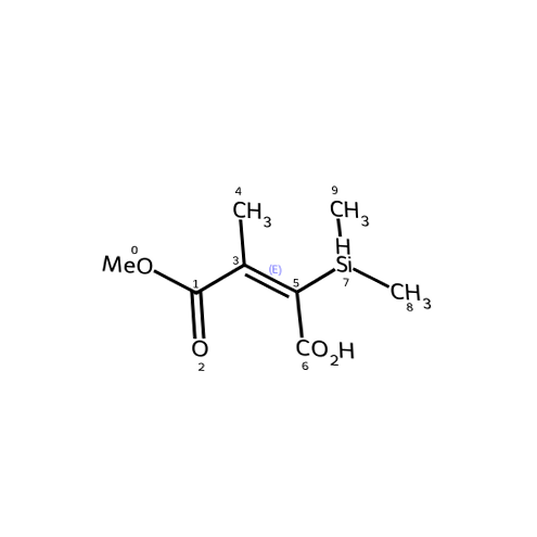 COC(=O)/C(C)=C(\C(=O)O)[SiH](C)C